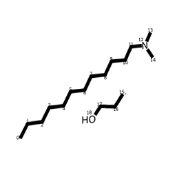 CCCCCCCCCCCCN(C)C.[CH2]CCO